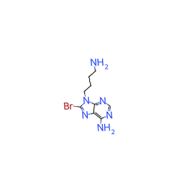 NCCCCn1c(Br)nc2c(N)ncnc21